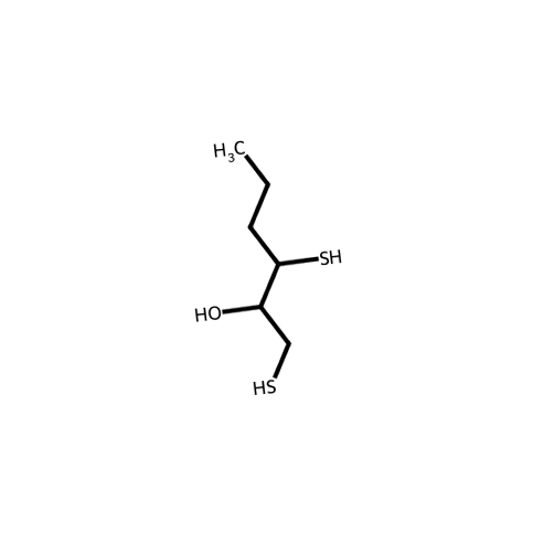 CCCC(S)C(O)CS